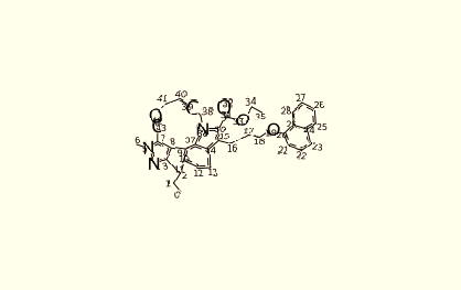 CCCc1nn(C)c2c1-c1c(C)ccc3c(CCCOc4cccc5ccccc45)c(C(=O)OCC)n(c13)CCCCOC2